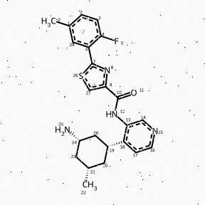 Cc1ccc(F)c(-c2nc(C(=O)Nc3cnccc3[C@@H]3C[C@H](C)C[C@H](N)C3)cs2)c1